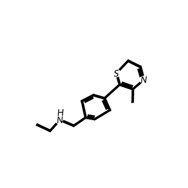 CCNCc1ccc(C2=C(C)N=CCS2)cc1